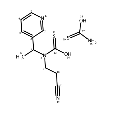 CC(c1cccnc1)N(CCC#N)C(O)=S.NC(O)=S